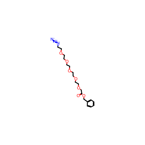 [N-]=[N+]=NCCOCCOCCOCCOCCOCC(=O)OCc1ccccc1